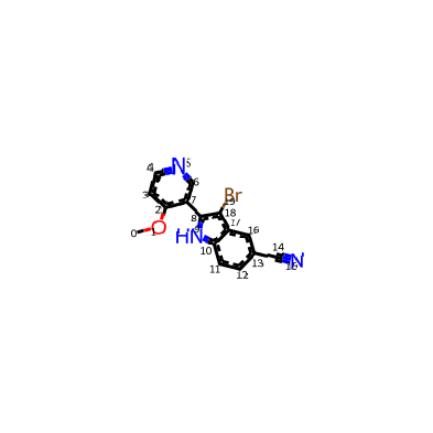 COc1ccncc1-c1[nH]c2ccc(C#N)cc2c1Br